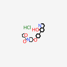 Cl.O=C([C@H]1CCCO1)N1CCC(Oc2ccc(-c3ccc4cccnc4c3O)cc2)CC1